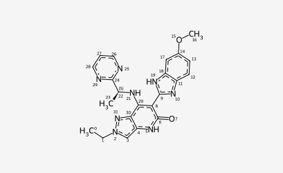 CCn1cc2[nH]c(=O)c(-c3nc4ccc(OC)cc4[nH]3)c(N[C@@H](C)c3ncccn3)c2n1